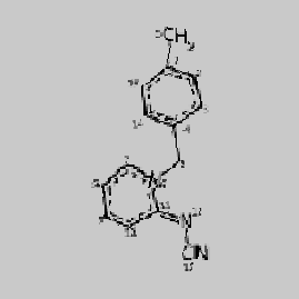 Cc1ccc(Cn2ccccc2=NC#N)cc1